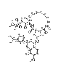 COc1ccc2c(OC3CC4C(=O)NC5(C(=O)NS(=O)(=O)C6(C)CC6)CC5C=CCCCCN(C)C(=O)C4C3)cc(-c3nc(C(C)C)cs3)nc2c1C